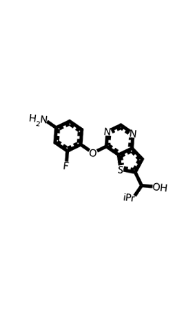 CC(C)C(O)c1cc2ncnc(Oc3ccc(N)cc3F)c2s1